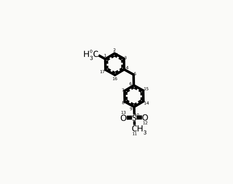 Cc1[c]cc(Cc2ccc(S(C)(=O)=O)cc2)cc1